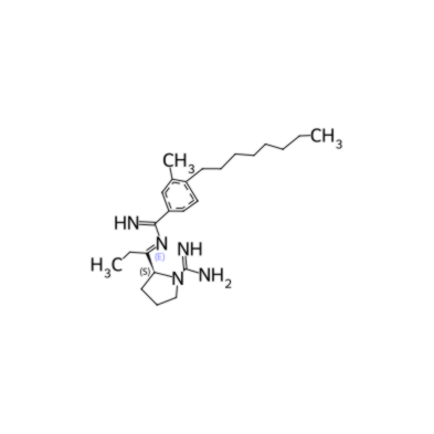 CCCCCCCCc1ccc(C(=N)/N=C(\CC)[C@@H]2CCCN2C(=N)N)cc1C